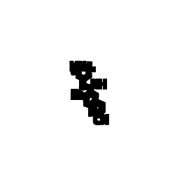 CCc1cc2nc(C#N)ccc2cc1C(=N)SC1CC(C)(C)NC(C)(C)C1